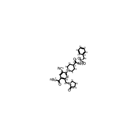 CCCCC(=O)c1cc(C#N)c(N2CCC(C(=O)NS(=O)(=O)Cc3ccccc3)CC2)nc1CN1CCCC1=O